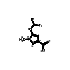 CCC(=O)c1cc(OC(F)F)n(C)n1